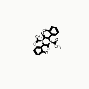 CC(=O)N1C(=O)C(c2ccccc2Cl)N(C(C)=O)C(=O)C1c1ccccc1Cl